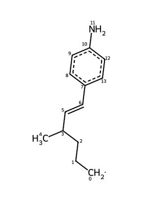 [CH2]CCC(C)C=Cc1ccc(N)cc1